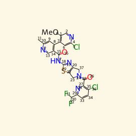 COc1cnc(Cl)cc1-c1cc(C)ncc1C(=O)Nc1nc2c(s1)CN(C(=O)c1nc(C(F)F)ccc1Cl)C2